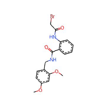 COc1ccc(CNC(=O)c2ccccc2NC(=O)CBr)c(OC)c1